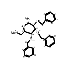 CNC[C@H]1O[C@H](C(C)=O)[C@@H](OCc2ccccc2)[C@H](OCc2ccccc2)[C@H]1OCc1ccccc1